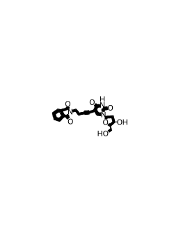 O=C1c2ccccc2C(=O)N1CCC#Cc1cn([C@H]2C[C@H](O)[C@@H](CO)O2)c(=O)[nH]c1=O